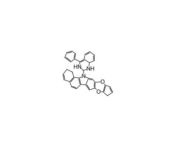 C1=CC2=C(c3ccccc3)NC(n3c4cc5c(cc4c4ccc6c(c43)CCC=C6)OC3=C(C=CC3)O5)NC2C=C1